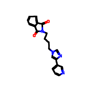 O=C1c2ccccc2C(=O)N1CCCCn1cnc(-c2cccnc2)c1